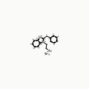 CC(=O)CC[n+]1c(Cc2ccccc2)[se]c2ccccc21.[Br-]